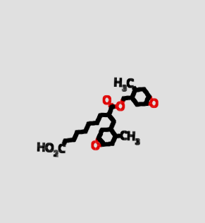 CC1CC2OC2CC1COC(=O)C(CCCCCCCC(=O)O)CC1CC2OC2CC1C